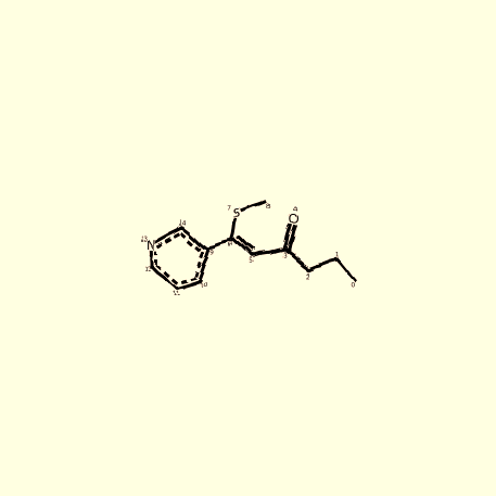 CCCC(=O)C=C(SC)c1cccnc1